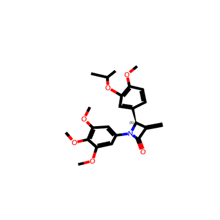 C=C1C(=O)N(c2cc(OC)c(OC)c(OC)c2)[C@H]1c1ccc(OC)c(OC(C)C)c1